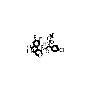 CN(C(=O)C(NC(=O)OC(C)(C)C)c1ccc(Cl)cc1)[C@@H]1COCc2[nH]c(=O)c3cc(F)c(F)cc3c21